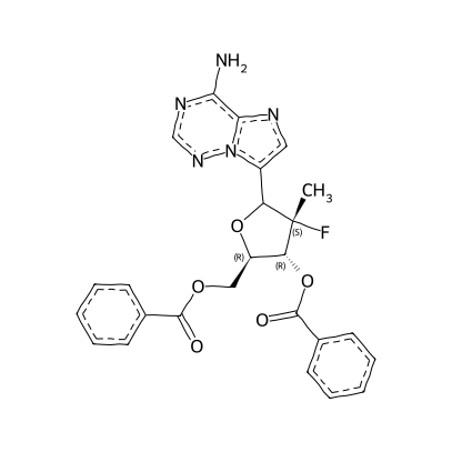 C[C@]1(F)C(c2cnc3c(N)ncnn23)O[C@H](COC(=O)c2ccccc2)[C@H]1OC(=O)c1ccccc1